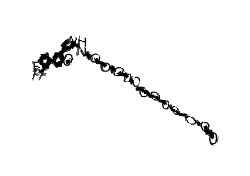 COCCOCCOCCOCCOCCOCCOCCOCCOCCOCCOCCOCCNCc1cc(-c2cc(-c3cccc(C(F)(F)F)c3)ccc2OC)ccn1